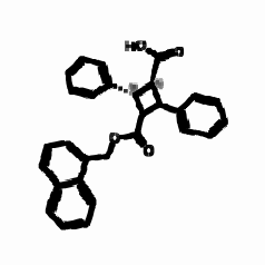 O=C(OCc1cccc2ccccc12)C1C(c2ccccc2)[C@H](C(=O)O)[C@H]1c1ccccc1